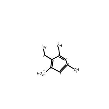 CC(C)Cc1c(O)cc(O)cc1C(=O)O